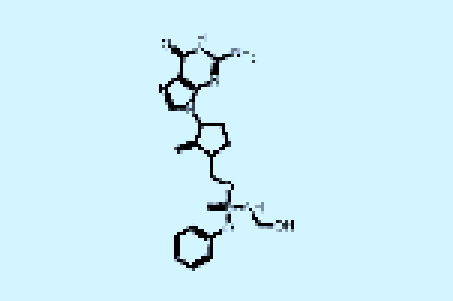 C=C1C(COP(=C)(NCO)Oc2ccccc2)CCC1n1cnc2c(=O)[nH]c(N)nc21